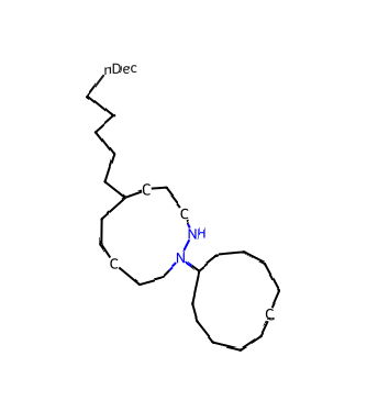 CCCCCCCCCCCCCCCC1CCCCCN(C2CCCCCCCCCC2)NCCC1